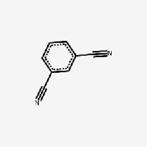 N#Cc1[c]c(C#N)c[c]c1